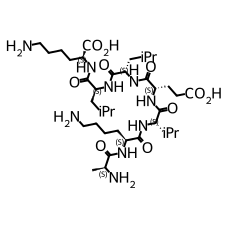 CC(C)C[C@H](NC(=O)[C@H](CC(C)C)NC(=O)[C@H](CCC(=O)O)NC(=O)[C@@H](NC(=O)[C@H](CCCCN)NC(=O)[C@H](C)N)C(C)C)C(=O)N[C@@H](CCCCN)C(=O)O